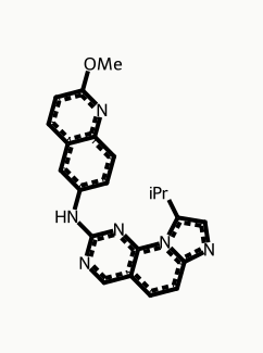 COc1ccc2cc(Nc3ncc4ccc5ncc(C(C)C)n5c4n3)ccc2n1